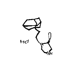 Cl.O=C1CNCCN1CCC12CC3CC(CC(C3)C1)C2